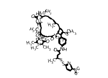 COc1cc2cc(c1-c1ccc(NC(=O)CCC(C)SSc3ccc([N+](=O)[O-])cn3)cc1)N(C)C(=O)C[C@H](OC(=O)[C@H](C)N(C)C(C)=O)[C@]1(C)O[C@H]1[C@H](C)[C@@H]1C[C@@](O)(NC(=O)O1)[C@H](OC)/C=C/C=C(\C)C2